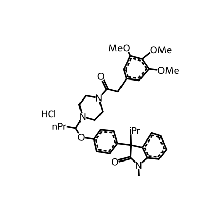 CCCC(Oc1ccc(C2(C(C)C)C(=O)N(C)c3ccccc32)cc1)N1CCN(C(=O)Cc2cc(OC)c(OC)c(OC)c2)CC1.Cl